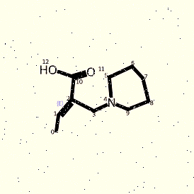 C/C=C(\CN1CCCCC1)C(=O)O